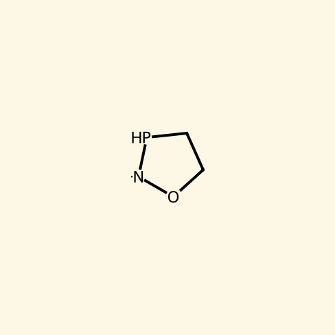 C1CP[N]O1